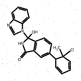 CC1(Cl)C=CC=CC1c1ccc2c(c1)C(=O)NC2(O)n1[c]nc2ccccc21